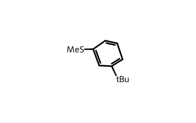 CSc1cccc(C(C)(C)C)c1